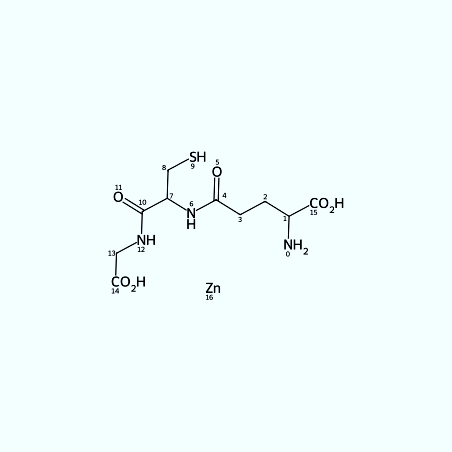 NC(CCC(=O)NC(CS)C(=O)NCC(=O)O)C(=O)O.[Zn]